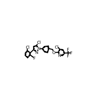 Fc1cccc(Cl)c1-c1cc(Cl)n(-c2ccc(COc3ncc(C(F)(F)F)cc3Cl)cc2)n1